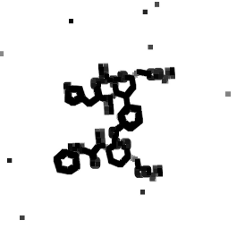 O=C(O)C[C@@H]1CC[C@H](NC(=O)Nc2ccccc2)B(Oc2cccc(C3C[C@@H](CC(=O)O)OB(O)[C@H]3NC(=O)Cc3ccsc3)c2)O1